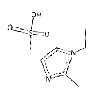 CCn1ccnc1C.CS(=O)(=O)O